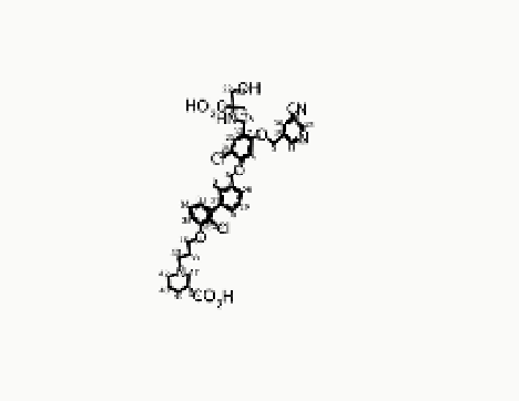 Cc1c(COc2cc(OCc3cncc(C#N)c3)c(CNC(C)(CO)C(=O)O)cc2Cl)cccc1-c1cccc(OCCCN2CCC[C@H](C(=O)O)C2)c1Cl